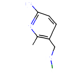 Nc1ccc(CNCl)c(C(F)(F)F)n1